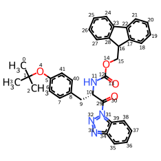 CC(C)(C)Oc1ccc(C[C@H](NC(=O)OCC2c3ccccc3-c3ccccc32)C(=O)n2nnc3ccccc32)cc1